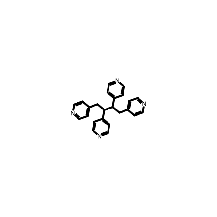 c1cc(CC(c2ccncc2)C(Cc2ccncc2)c2ccncc2)ccn1